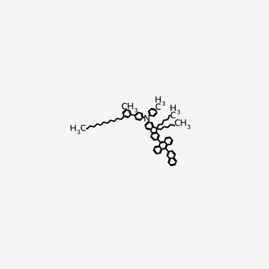 CCCCCCCCCCCCc1cc(C)cc(-c2ccc(N(c3ccc(C)cc3)c3ccc4c(c3)C(CCCCCC)(CCCCCC)c3cc(-c5c6ccccc6c(-c6ccc7ccccc7c6)c6ccccc56)ccc3-4)cc2)c1